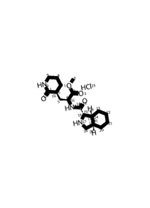 COC(=O)[C@H](C[C@@H]1CCCNC1=O)NC(=O)[C@H]1NC[C@@H]2CCCC[C@@H]21.Cl